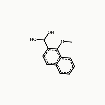 COc1c(C(O)O)ccc2ccccc12